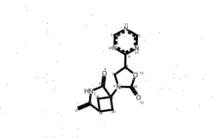 C=C1NC(=O)C2(N3CC(c4ncncn4)OC3=O)CC1C2